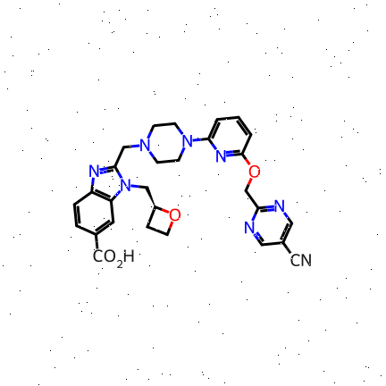 N#Cc1cnc(COc2cccc(N3CCN(Cc4nc5ccc(C(=O)O)cc5n4C[C@@H]4CCO4)CC3)n2)nc1